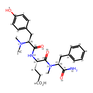 CC(=O)N(C)[C@@H](Cc1ccc(O)cc1)C(=O)N[C@@H](CCC(=O)O)C(=O)N(C)[C@@H](Cc1ccccc1)C(N)=O